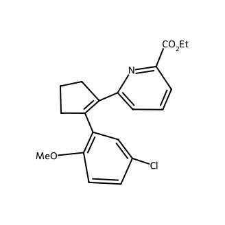 CCOC(=O)c1cccc(C2=C(c3cc(Cl)ccc3OC)CCC2)n1